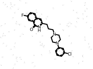 O=c1[nH]c(CCCN2CCN(c3cccc(Cl)c3)CC2)cc2ccc(F)cc12